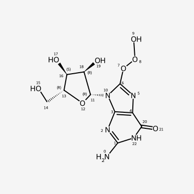 Nc1nc2c(nc(OOO)n2[C@@H]2O[C@H](CO)[C@@H](O)[C@H]2O)c(=O)[nH]1